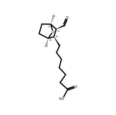 O=C[C@H]1[C@@H](CCCCCCC(=O)O)[C@H]2CC[C@@H]1O2